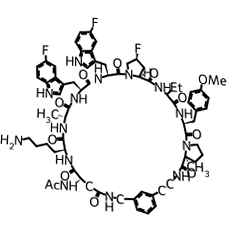 CCC1NC(=O)[C@@H]2C[C@H](F)CN2C(=O)[C@H](Cc2c[nH]c3ccc(F)cc23)NC(=O)[C@H](Cc2c[nH]c3ccc(F)cc23)NC(=O)[C@@H](C)NC(=O)[C@H](CCCCN)NC(=O)[C@@H](NC(C)=O)CC(=O)NCc2cccc(c2)CCNC(=O)[C@]2(C)CCCN2C(=O)[C@H](Cc2ccc(OC)cc2)NC1=O